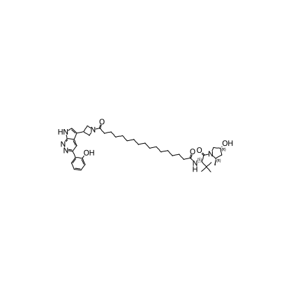 C[C@@H]1C[C@@H](O)CN1C(=O)[C@@H](NC(=O)CCCCCCCCCCCCCCCC(=O)N1CC(c2c[nH]c3nnc(-c4ccccc4O)cc23)C1)C(C)(C)C